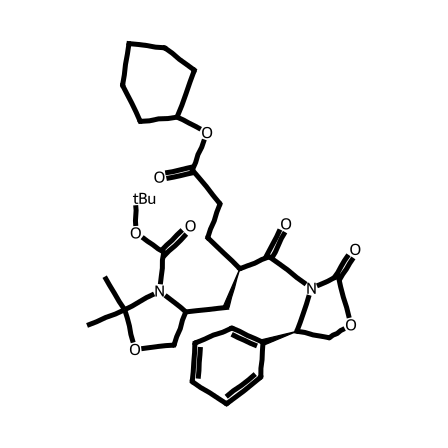 CC(C)(C)OC(=O)N1C(C[C@@H](CCC(=O)OC2CCCCC2)C(=O)N2C(=O)OC[C@H]2c2ccccc2)COC1(C)C